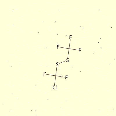 FC(F)(F)SSC(F)(F)Cl